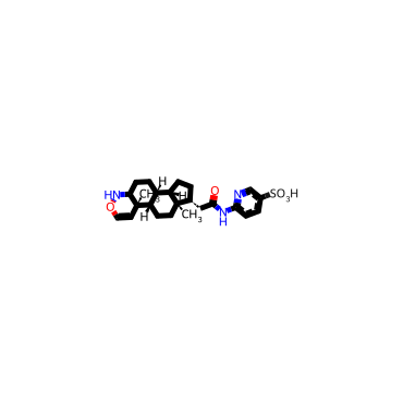 C[C@]12CC[C@H]3[C@@H](CCC4NOC=C[C@@]43C)[C@@H]1CC[C@@H]2CC(=O)Nc1ccc(S(=O)(=O)O)cn1